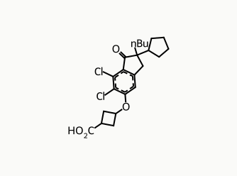 CCCCC1(C2CCCC2)Cc2cc(OC3CC(C(=O)O)C3)c(Cl)c(Cl)c2C1=O